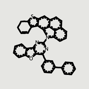 C1=Cc2c(sc3cc4ccc5cccc6c5c4c(c23)n6-c2nc(-c3cccc(-c4ccccc4)c3)c3oc4ccccc4c3n2)CC1